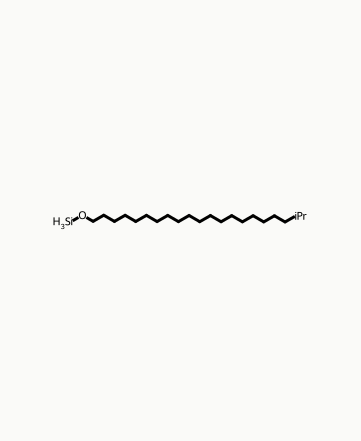 CC(C)CCCCCCCCCCCCCCCCCCCO[SiH3]